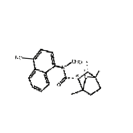 C[C@H]1[C@@H](C(=O)N(C=O)c2ccc(C#N)c3ccccc23)C2(C)CCC1(C)O2